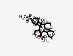 CS(=O)(=O)NC(OC(C1CCOCC1)C(O)S(C)(=O)=O)(C1CCOCC1)C(O)(C1CCOCC1)C1CCN(S(C)(=O)=O)CC1